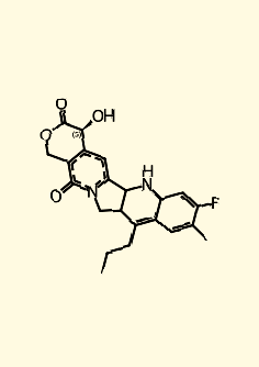 CCCC1=C2C=C(C)C(F)=CC2NC2c3cc4c(c(=O)n3CC12)COC(=O)[C@H]4O